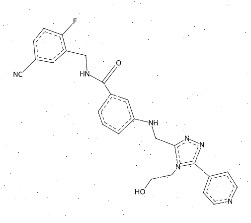 N#Cc1ccc(F)c(CNC(=O)c2cccc(NCc3nnc(-c4ccncc4)n3CCO)c2)c1